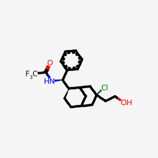 O=C(N[C@@H](c1ccccc1)[C@@H]1CCC2CC1C[C@](Cl)(CCO)C2)C(F)(F)F